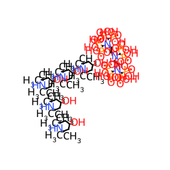 CC1(C)CC(O)CC(C)(C)N1.CC1(C)CC(O)CC(C)(C)N1.CC1(C)CC(O)CC(C)(C)N1.CC1(C)CC(O)CC(C)(C)N1.CC1(C)CC(O)CC(C)(C)N1.O=P(O)(O)C(N(CCN(C(P(=O)(O)O)P(=O)(O)O)C(P(=O)(O)O)P(=O)(O)O)CCN(C(P(=O)(O)O)P(=O)(O)O)C(P(=O)(O)O)P(=O)(O)O)P(=O)(O)O